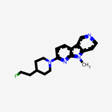 Cn1c2ccncc2c2ccc(N3CCC(CCF)CC3)nc21